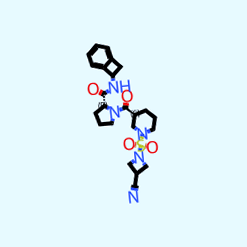 N#CC1CN(S(=O)(=O)N2CCC[C@H](C(=O)N3CCC[C@@H]3C(=O)NC3Cc4ccccc43)C2)C1